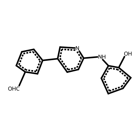 O=Cc1cccc(-c2ccc(Nc3ccccc3O)nc2)c1